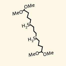 COC(CCC[SiH2]CCC[SiH2]CCCC(OC)OC)OC